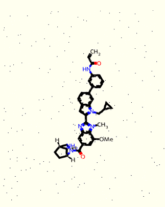 C=CC(=O)Nc1cccc(-c2ccc3cc(-c4nc5cc(C(=O)N6C[C@H]7CC[C@@H]6[C@@H]7N)cc(OC)c5n4C)n(CC4CC4)c3c2)c1